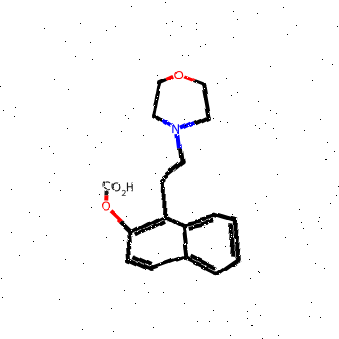 O=C(O)Oc1ccc2ccccc2c1CCN1CCOCC1